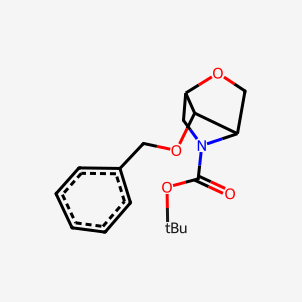 CC(C)(C)OC(=O)N1CC2OCC1C2OCc1ccccc1